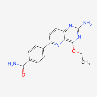 CCOc1nc(N)nc2ccc(-c3ccc(C(N)=O)cc3)nc12